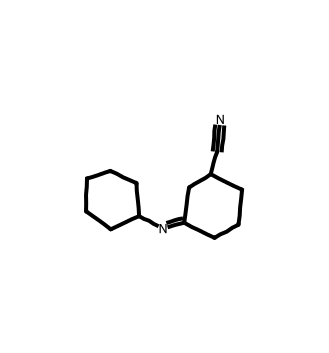 N#CC1CCCC(=NC2CCCCC2)C1